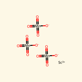 [O]=[Mn](=[O])(=[O])[O-].[O]=[Mn](=[O])(=[O])[O-].[O]=[Mn](=[O])(=[O])[O-].[Sc+3]